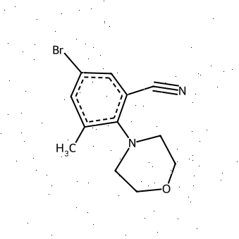 Cc1cc(Br)cc(C#N)c1N1CCOCC1